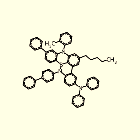 CCCCCc1cc2c3c(c1)N(c1ccccc1C)c1cc(-c4ccccc4)ccc1B3N(c1ccc(-c3ccccc3)cc1)c1ccc(N(c3ccccc3)c3ccccc3)cc1-2